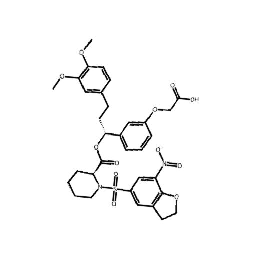 COc1ccc(CC[C@@H](OC(=O)[C@@H]2CCCCN2S(=O)(=O)c2cc3c(c([N+](=O)[O-])c2)OCC3)c2cccc(OCC(=O)O)c2)cc1OC